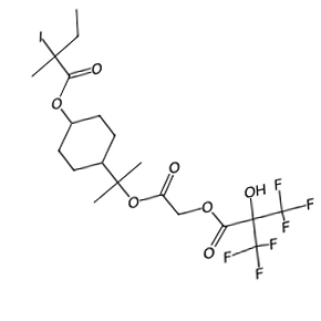 CCC(C)(I)C(=O)OC1CCC(C(C)(C)OC(=O)COC(=O)C(O)(C(F)(F)F)C(F)(F)F)CC1